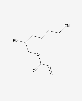 C=CC(=O)OCC(CC)CCCCC#N